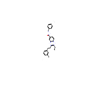 C=CCc1nc2ccc(C(=O)NCc3ccc(C#N)cc3)cc2nc1CCc1cccc(CC(=O)O)c1